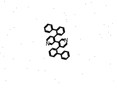 c1ccc(-c2ccccc2-c2ccncc2-c2cnccc2-c2ccccc2-c2ccccc2)cc1